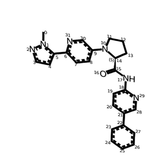 Cn1nccc1-c1ccc(N2CCC[C@H]2C(=O)Nc2ccc(-c3ccccc3)cn2)cn1